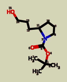 CC(C)(C)OC(=O)N1CCCC1CCCO